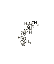 Cc1c(C(=O)NC2CCN(c3ccc(C(=O)N[C@H]4CCCN(C(C)C)C4)cn3)C3CCC3C2)ccc2c1OCC2